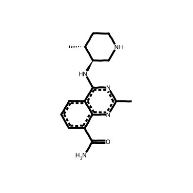 Cc1nc(N[C@@H]2CNCC[C@H]2C)c2cccc(C(N)=O)c2n1